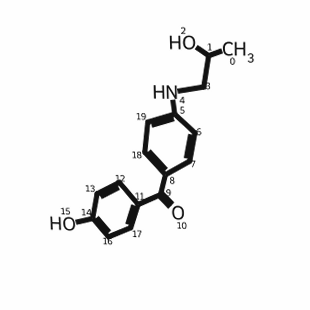 CC(O)CNc1ccc(C(=O)c2ccc(O)cc2)cc1